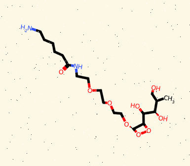 CC(CO)[C@@H](O)C(O)C1OO[C@@H]1OCCOCCOCCNC(=O)CCCCCN